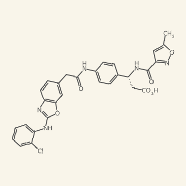 Cc1cc(C(=O)N[C@H](CC(=O)O)c2ccc(NC(=O)Cc3ccc4nc(Nc5ccccc5Cl)oc4c3)cc2)no1